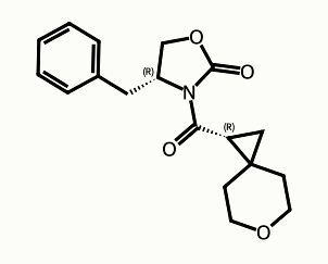 O=C1OC[C@@H](Cc2ccccc2)N1C(=O)[C@@H]1CC12CCOCC2